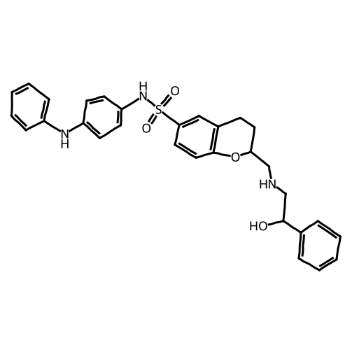 O=S(=O)(Nc1ccc(Nc2ccccc2)cc1)c1ccc2c(c1)CCC(CNCC(O)c1ccccc1)O2